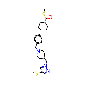 CSc1cnn(CC2CCN(Cc3ccc([C@H]4CC[C@@H](C(=O)SC)CC4)cc3)CC2)c1